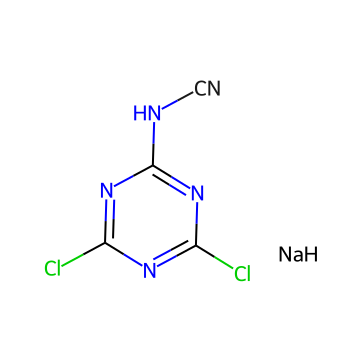 N#CNc1nc(Cl)nc(Cl)n1.[NaH]